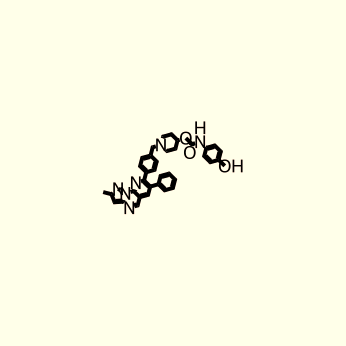 Cc1cc2ncc3cc(-c4ccccc4)c(-c4ccc(CN5CCC(OC(=O)Nc6ccc(O)cc6)CC5)cc4)nc3n2n1